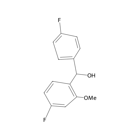 COc1cc(F)ccc1C(O)c1ccc(F)cc1